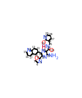 Nc1nc(-c2ncco2)c(-c2ccc3ncccc3c2)nc1C(=O)NCc1cccnc1O